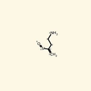 C=C(CCN)[S+]=O